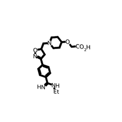 CCNC(=N)c1ccc(C2=NOC(CN3CCC(OCC(=O)O)CC3)C2)cc1